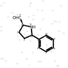 O=C[C@@H]1CCC(c2ccccc2)N1